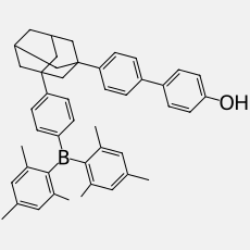 Cc1cc(C)c(B(c2ccc(C34CC5CC(C3)CC(c3ccc(-c6ccc(O)cc6)cc3)(C5)C4)cc2)c2c(C)cc(C)cc2C)c(C)c1